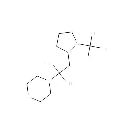 CC(C)(C)N1CCCC1CC(C)(C)N1CCOCC1